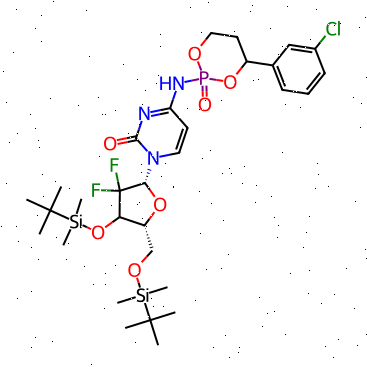 CC(C)(C)[Si](C)(C)OC[C@H]1O[C@@H](n2ccc(NP3(=O)OCCC(c4cccc(Cl)c4)O3)nc2=O)C(F)(F)C1O[Si](C)(C)C(C)(C)C